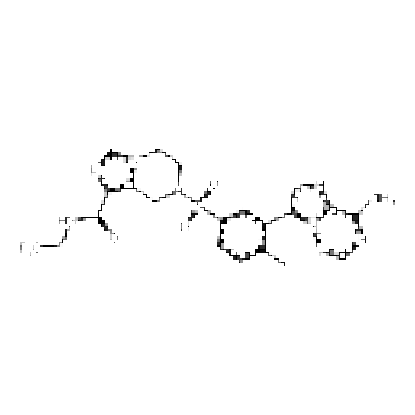 Cc1ccc(S(=O)(=O)N2CCn3cnc(C(=O)NCC(F)(F)F)c3C2)cc1-c1cnc2c(N)ncnn12